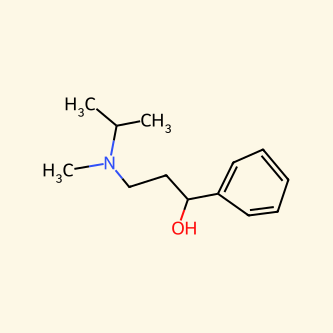 CC(C)N(C)CCC(O)c1ccccc1